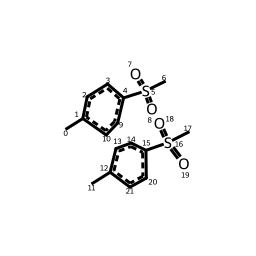 Cc1ccc(S(C)(=O)=O)cc1.Cc1ccc(S(C)(=O)=O)cc1